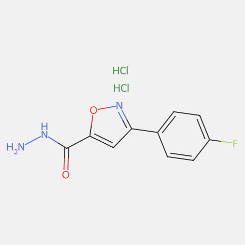 Cl.Cl.NNC(=O)c1cc(-c2ccc(F)cc2)no1